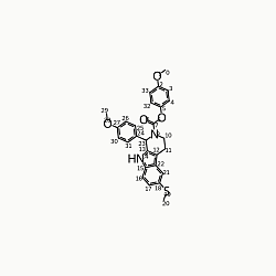 COc1ccc(OC(=O)N2CCc3c([nH]c4ccc(SC)cc34)C2c2ccc(OC)cc2)cc1